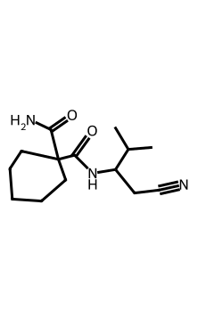 CC(C)C(CC#N)NC(=O)C1(C(N)=O)CCCCC1